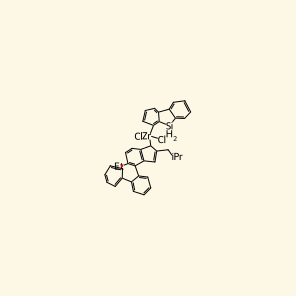 CCc1ccc2c(c1-c1ccccc1-c1ccccc1)C=C(CC(C)C)[CH]2[Zr]([Cl])([Cl])[c]1cccc2c1[SiH2]c1ccccc1-2